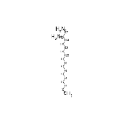 CCCCCCCCCCCCCCCC(N)CN